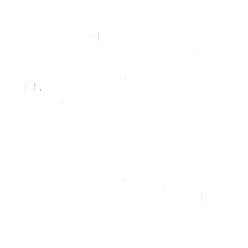 CC(C)(C)c1ccc(S(=O)(=O)Cl)cc1.CC(C)[C@H](N)C(=O)O